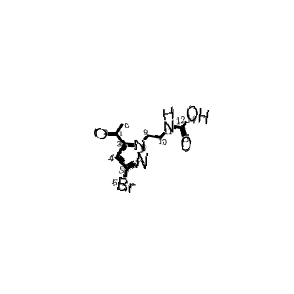 CC(=O)c1cc(Br)nn1CCNC(=O)O